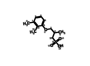 Cc1cccc(OCC(C)CS(=O)(=O)O)c1C